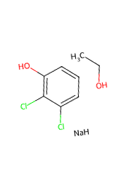 CCO.Oc1cccc(Cl)c1Cl.[NaH]